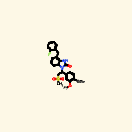 CCOc1cc(C(CS(C)(=O)=O)n2c(=O)[nH]c3c(Cc4ccccc4F)cccc32)ccc1OC